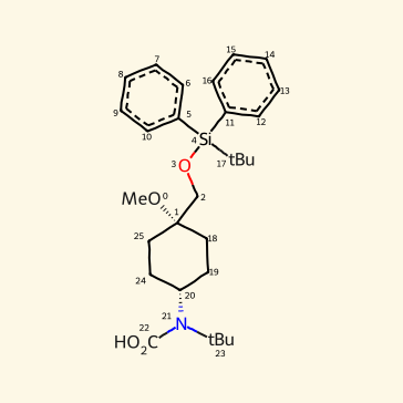 CO[C@]1(CO[Si](c2ccccc2)(c2ccccc2)C(C)(C)C)CC[C@H](N(C(=O)O)C(C)(C)C)CC1